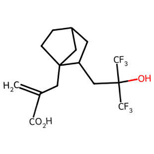 C=C(CC12CCC(CC1CC(O)(C(F)(F)F)C(F)(F)F)C2)C(=O)O